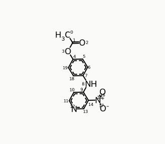 CC(=O)Oc1ccc(Nc2ccncc2[N+](=O)[O-])cc1